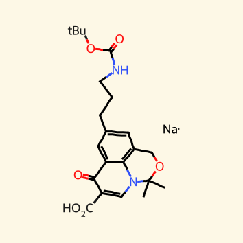 CC(C)(C)OC(=O)NCCCc1cc2c3c(c1)c(=O)c(C(=O)O)cn3C(C)(C)OC2.[Na]